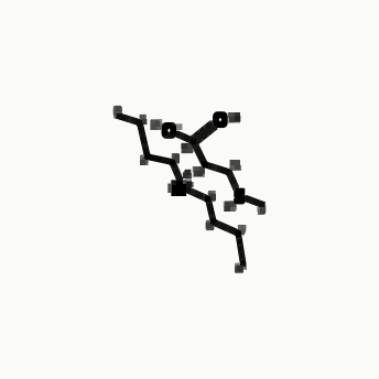 CCC[CH2][Bi+][CH2]CCC.CSCCC(=O)[O-]